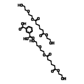 O=C(CCCCC(=O)OCCOCCO)OCCO.O=C(CCCCC(=O)OCCOCCO)OCCO.O=C(O)c1cccc(C(=O)O)c1